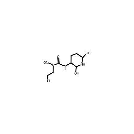 O=NN(CCCl)C(=O)NC1CCC(O)NC1O